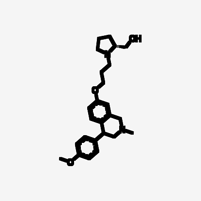 COc1ccc(C2CN(C)Cc3cc(OCCCN4CCC[C@@H]4CO)ccc32)cc1